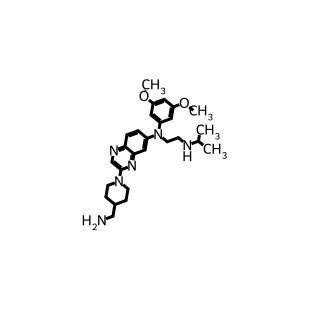 COc1cc(OC)cc(N(CCNC(C)C)c2ccc3ncc(N4CCC(CN)CC4)nc3c2)c1